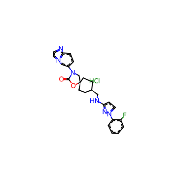 Cl.O=C1O[C@]2(CC[C@H](CNc3ccn(-c4ccccc4F)n3)CC2)CN1c1ccc2nccn2c1